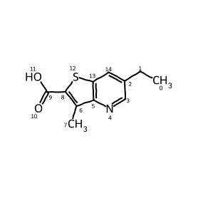 CCc1cnc2c(C)c(C(=O)O)sc2c1